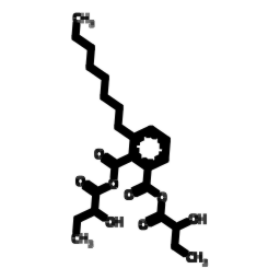 CCCCCCCCc1cccc(C(=O)OC(=O)C(O)CC)c1C(=O)OC(=O)C(O)CC